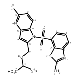 Cc1nc2cccc(S(=O)(=O)n3c(COC(C)C(=O)O)cc4nc(Cl)ccc43)c2s1